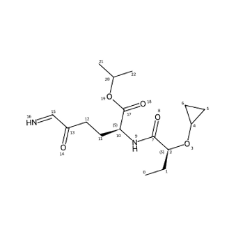 CC[C@H](OC1CC1)C(=O)N[C@@H](CCC(=O)C=N)C(=O)OC(C)C